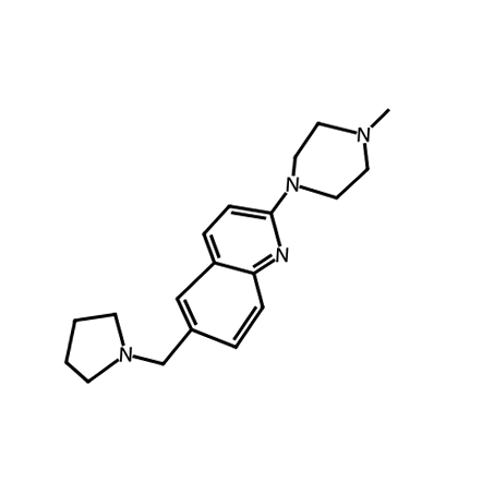 CN1CCN(c2ccc3cc(CN4CCCC4)ccc3n2)CC1